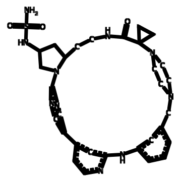 NS(=O)(=O)NC1CC2CCNC(=O)C3(CC3)N3CCN(CC3)Cc3cccc(c3)Nc3cc(ccn3)-c3cnc(nc3)N2C1